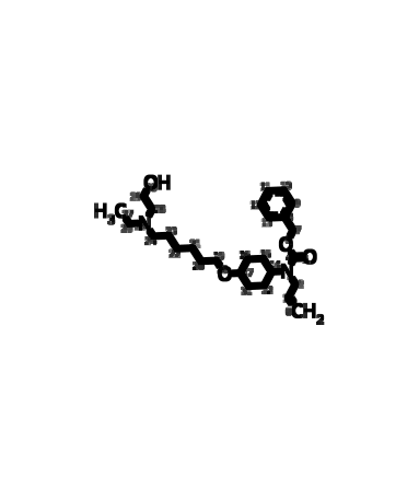 C=CCN(C(=O)OCc1ccccc1)C1CCC(OCCCCCCN(CC)CCO)CC1